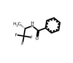 C[C@H](NC(=O)c1ccccc1)C(F)(F)F